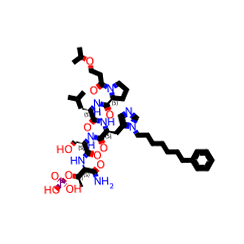 CC(C)C[C@H](NC(=O)[C@@H]1CCCN1C(=O)CCOC(C)C)C(=O)N[C@@H](Cc1cncn1CCCCCCCc1ccccc1)C(=O)N[C@@H](CO)C(=O)N[C@H](C(N)=O)[C@@H](C)OP(=O)(O)O